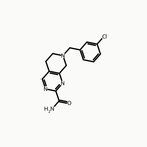 NC(=O)c1n[c]c2c(n1)CN(Cc1cccc(Cl)c1)CC2